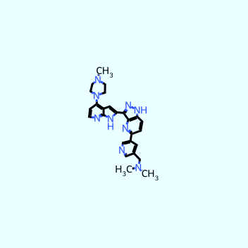 CN(C)Cc1cncc(-c2ccc3[nH]nc(-c4cc5c(N6CCN(C)CC6)ccnc5[nH]4)c3n2)c1